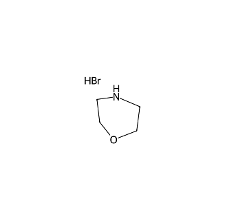 Br.C1COCCN1